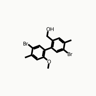 COc1cc(C)c(Br)cc1-c1cc(Br)c(C)cc1CO